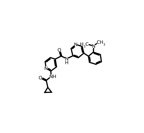 CN(C)c1ccccc1-c1cncc(NC(=O)c2ccnc(NC(=O)C3CC3)c2)c1